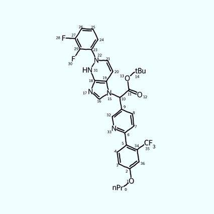 CCCOc1ccc(-c2ccc(C(C(=O)OC(C)(C)C)n3cnc4c3C=CN(c3cccc(F)c3F)N4)cn2)c(C(F)(F)F)c1